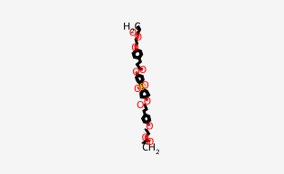 C=CC(=O)OCCOc1ccc(CCC(=O)Oc2ccc(S(=O)(=O)c3ccc(OC(=O)CCc4ccc(OCCOC(=O)C=C)cc4)cc3)cc2)cc1